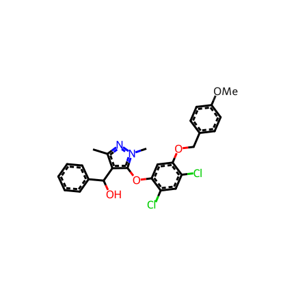 COc1ccc(COc2cc(Oc3c(C(O)c4ccccc4)c(C)nn3C)c(Cl)cc2Cl)cc1